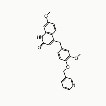 COc1ccc2c(Cc3ccc(OCc4cccnc4)c(OC)c3)cc(=O)[nH]c2c1